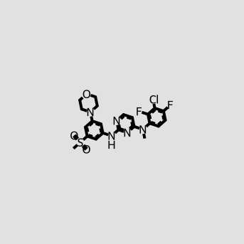 CN(c1ccnc(Nc2cc(N3CCOCC3)cc(S(C)(=O)=O)c2)n1)c1ccc(F)c(Cl)c1F